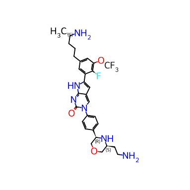 C[C@H](N)CCCc1cc(OC(F)(F)F)c(F)c(-c2cc3cn(-c4ccc([C@@H]5COC[C@H](CCN)N5)cc4)c(=O)nc3[nH]2)c1